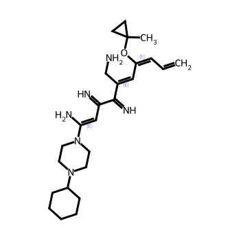 C=C/C=C(\C=C(/CN)C(=N)C(=N)/C=C(\N)N1CCN(C2CCCCC2)CC1)OC1(C)CC1